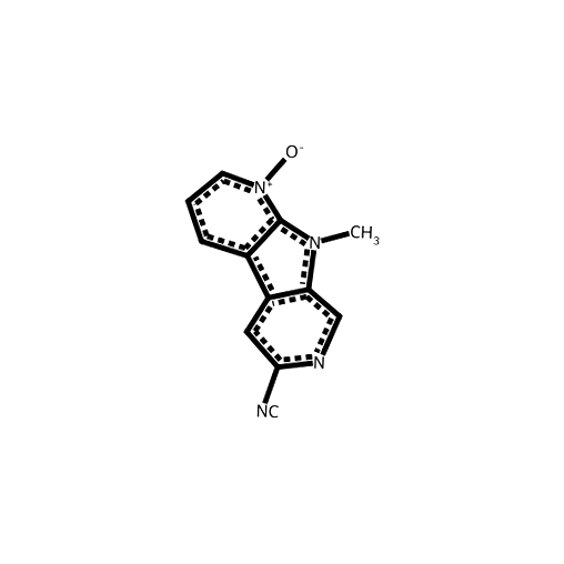 [C-]#[N+]c1cc2c3ccc[n+]([O-])c3n(C)c2cn1